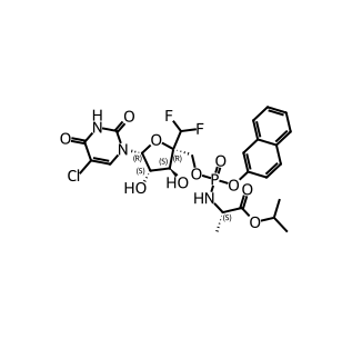 CC(C)OC(=O)[C@H](C)NP(=O)(OC[C@@]1(C(F)F)O[C@@H](n2cc(Cl)c(=O)[nH]c2=O)[C@@H](O)[C@@H]1O)Oc1ccc2ccccc2c1